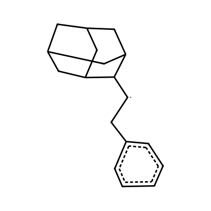 [CH](Cc1ccccc1)C1C2CC3CC(C2)CC1C3